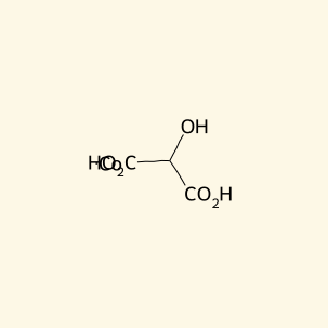 O=C(O)C(O)C(=O)O.[Co]